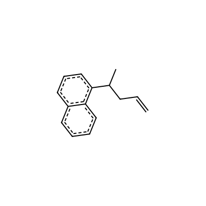 C=CCC(C)c1cccc2ccccc12